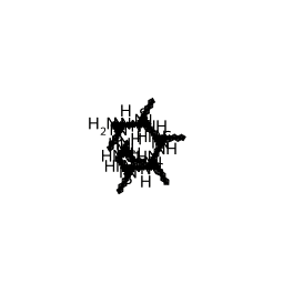 CCCCCSc1nc(N)nc(NCCNc2nc(NCCNc3nc(NCCNc4nc(NCCNc5nc(NCCNc6nc(NC)nc(SCCCCC)n6)nc(SCCCCC)n5)nc(SCCCCC)n4)nc(SCCCCC)n3)nc(SCCCCC)n2)n1